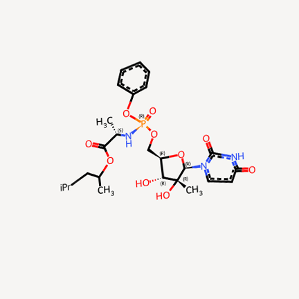 CC(C)CC(C)OC(=O)[C@H](C)N[P@@](=O)(OC[C@H]1O[C@@H](n2ccc(=O)[nH]c2=O)[C@](C)(O)[C@@H]1O)Oc1ccccc1